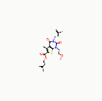 C=C(C)CCOC(=O)c1sc2c(c1C)c(=O)n(CCC(=C)C)c(=O)n2CCOC